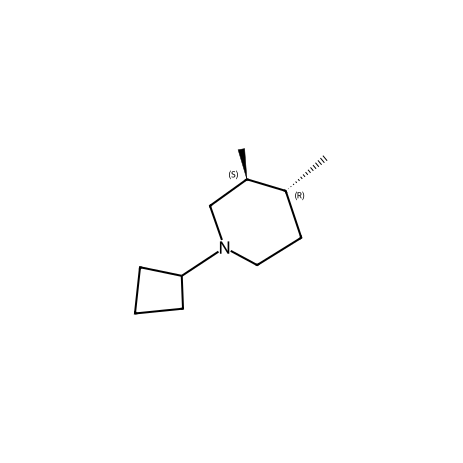 C[C@@H]1CCN(C2CCC2)C[C@H]1C